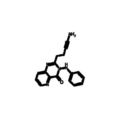 NC#CCCc1nc2cccnc2c(=O)n1Nc1ccccc1